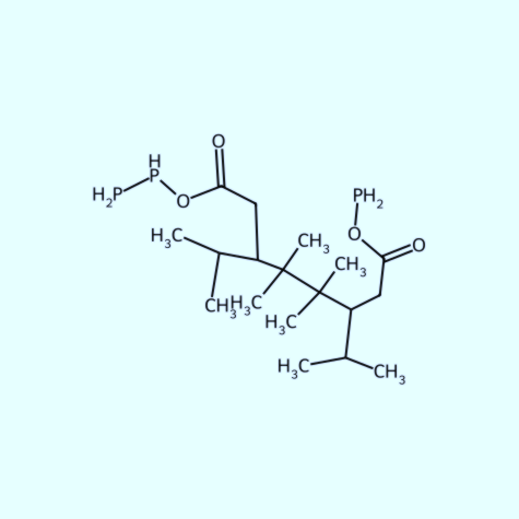 CC(C)C(CC(=O)OP)C(C)(C)C(C)(C)C(CC(=O)OPP)C(C)C